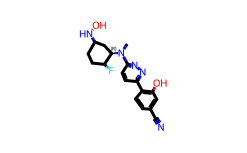 CN(c1ccc(-c2ccc(C#N)cc2O)nn1)[C@@H]1CC(NO)CCC1F